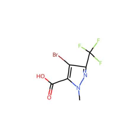 Cn1nc(C(F)(F)F)c(Br)c1C(=O)O